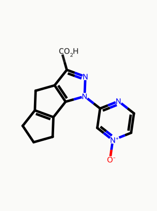 O=C(O)c1nn(-c2c[n+]([O-])ccn2)c2c1CC1=C2CCC1